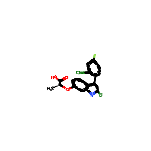 C[C@@H](Oc1ccc2c(-c3ccc(F)cc3Cl)cc(Cl)nc2c1)C(=O)O